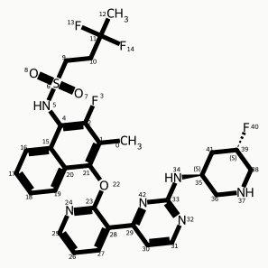 Cc1c(F)c(NS(=O)(=O)CCC(C)(F)F)c2ccccc2c1Oc1ncccc1-c1ccnc(N[C@@H]2CNC[C@@H](F)C2)n1